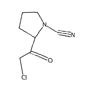 N#CN1CCCC1C(=O)CCl